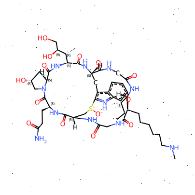 CC[C@H](C)[C@@H]1NC(=O)CNC(=O)[C@@H]2Cc3c4[nH]c5cc(ccc35)OC1(CCCCCCNC)C(=O)NCC(=O)N[C@@H](C[S+]4[O-])C(=O)N[C@@H](CCC(N)=O)C(=O)N1C[C@H](O)C[C@H]1C(=O)N[C@@H]([C@@H](C)[C@@H](O)CO)C(=O)N2